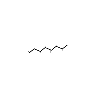 C[CH]CCNCCC